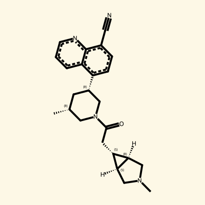 C[C@@H]1C[C@H](c2ccc(C#N)c3ncccc23)CN(C(=O)C[C@@H]2[C@H]3CN(C)C[C@@H]23)C1